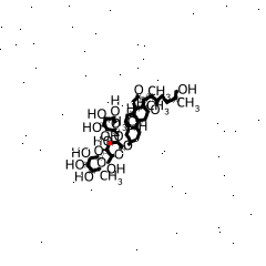 CC1O[C@@H](O[C@@H]2C(CO)O[C@@H](OC3CC[C@@]4(C)C(=CC[C@H]5[C@@H]6CC(=O)[C@H]([C@H](C)C(=O)CC[C@@H](C)CO)[C@@]6(C)CC[C@@H]54)C3)C(O[C@@H]3OC(O)[C@H](O)[C@H](O)C3O)[C@H]2O)C(O)[C@@H](O)[C@H]1O